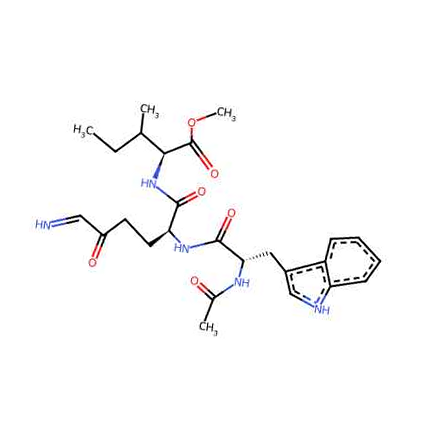 CCC(C)[C@H](NC(=O)[C@H](CCC(=O)C=N)NC(=O)[C@H](Cc1c[nH]c2ccccc12)NC(C)=O)C(=O)OC